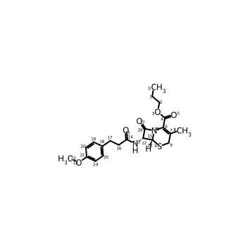 CCCOC(=O)C1=C(C)CS[C@@H]2[C@H](NC(=O)CCc3ccc(OC)cc3)C(=O)N12